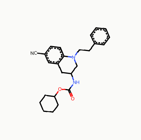 N#Cc1ccc2c(c1)CC(NC(=O)OC1CCCCC1)CN2CCc1ccccc1